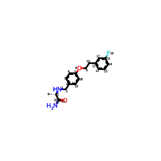 C[C@H](NCc1ccc(OCCc2cccc(F)c2)cc1)C(N)=O